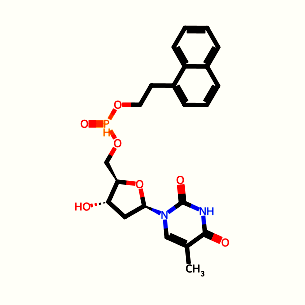 Cc1cn([C@H]2C[C@H](O)[C@@H](CO[PH](=O)OCCc3cccc4ccccc34)O2)c(=O)[nH]c1=O